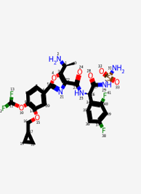 C[C@H](N)c1oc(-c2ccc(OC(F)F)c(OCC3CC3)c2)nc1C(=O)N[C@H](C(=O)NS(N)(=O)=O)c1ccc(F)cc1F